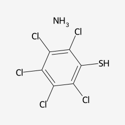 N.Sc1c(Cl)c(Cl)c(Cl)c(Cl)c1Cl